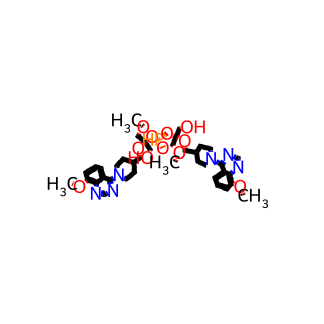 COCC(CO)(OCC1CCN(c2ncnc3c(OC)cccc23)CC1)O[PH](=O)OC(CO)(COC)OCC1CCN(c2ncnc3c(OC)cccc23)CC1